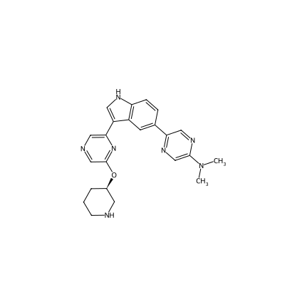 CN(C)c1cnc(-c2ccc3[nH]cc(-c4cncc(O[C@@H]5CCCNC5)n4)c3c2)cn1